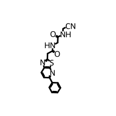 N#CCNC(=O)CNC(=O)Cc1nc2ccc(-c3ccccc3)nc2s1